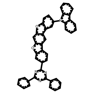 c1ccc(-c2nc(-c3ccccc3)nc(-c3ccc4c(c3)oc3cc5oc6ccc(-n7c8ccccc8c8ccccc87)cc6c5cc34)n2)cc1